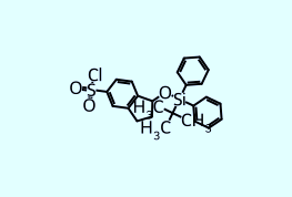 CC(C)(C)[Si](OC1CCc2cc(S(=O)(=O)Cl)ccc21)(c1ccccc1)c1ccccc1